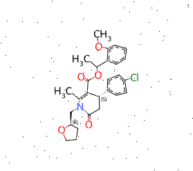 COc1ccccc1C(C)OC(=O)C1=C(C)N(C[C@H]2CCCO2)C(=O)C[C@H]1c1ccc(Cl)cc1